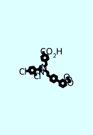 CS(=O)(=O)c1cccc(-c2ccc(C=Cc3nc(-c4ccc(Cl)cc4Cl)cn3Cc3ccc(C(=O)O)cc3)cc2)c1